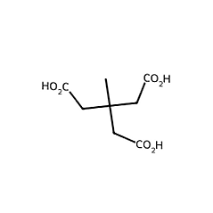 CC(CC(=O)O)(CC(=O)O)CC(=O)O